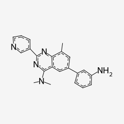 Cc1cc(-c2cccc(N)c2)cc2c(N(C)C)nc(-c3cccnc3)nc12